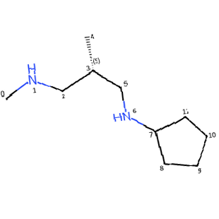 CNC[C@H](C)CNC1CCCC1